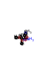 CC(C)c1cc(-c2noc(C(N)=O)c2-c2ccc3c(c2)CCN(C)C3)c(OCc2ccccc2)cc1OCc1ccccc1